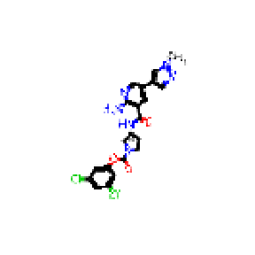 Cn1cc(-c2cnc(N)c(C(=O)N[C@@H]3CCN(C(=O)Oc4cc(Cl)cc(Cl)c4)C3)c2)cn1